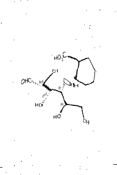 O=C(O)C1CCCCC1.O=C[C@H](O)[C@@H](O)[C@H](O)[C@H](O)CO